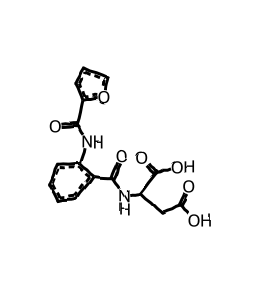 O=C(O)CC(NC(=O)c1ccccc1NC(=O)c1ccco1)C(=O)O